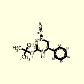 CC(C)(C)OC(=O)NC(CN=C=O)c1ccccc1